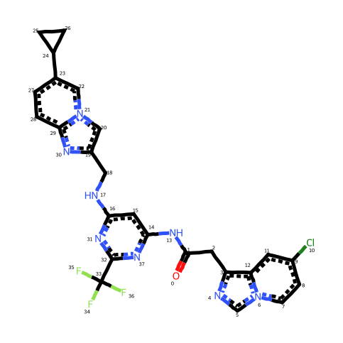 O=C(Cc1ncn2ccc(Cl)cc12)Nc1cc(NCc2cn3cc(C4CC4)ccc3n2)nc(C(F)(F)F)n1